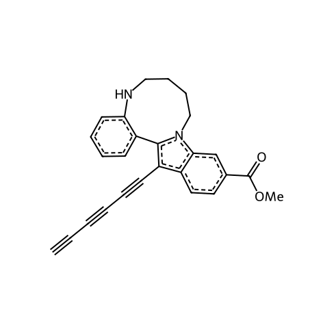 C#CC#CC#Cc1c2n(c3cc(C(=O)OC)ccc13)CCCCNc1ccccc1-2